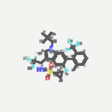 Cc1cccc(C(F)(F)F)c1-c1cc2c(cc1F)c([C@H](NS(=O)(=O)C1CC1)C(F)(F)F)cn2CC(C)(C)C